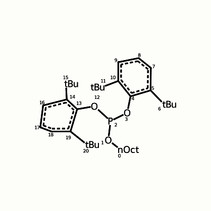 CCCCCCCCOP(Oc1c(C(C)(C)C)cccc1C(C)(C)C)Oc1c(C(C)(C)C)cccc1C(C)(C)C